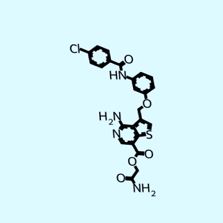 NC(=O)COC(=O)c1cnc(N)c2c(COc3cccc(NC(=O)c4ccc(Cl)cc4)c3)csc12